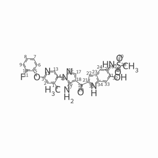 Cc1cc(Oc2ccccc2F)ncc1-n1ncc(C(=O)c2cc3cc(NS(C)(=O)=O)c(O)cc3[nH]2)c1N